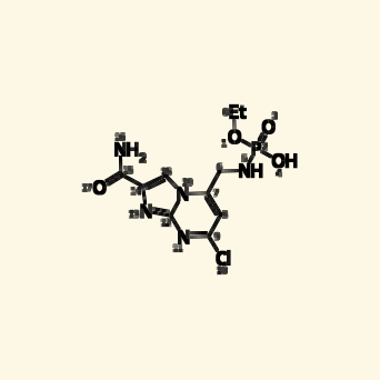 CCOP(=O)(O)NCc1cc(Cl)nc2nc(C(N)=O)cn12